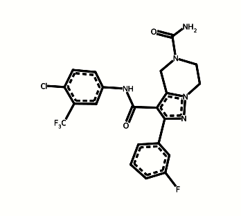 NC(=O)N1CCn2nc(-c3cccc(F)c3)c(C(=O)Nc3ccc(Cl)c(C(F)(F)F)c3)c2C1